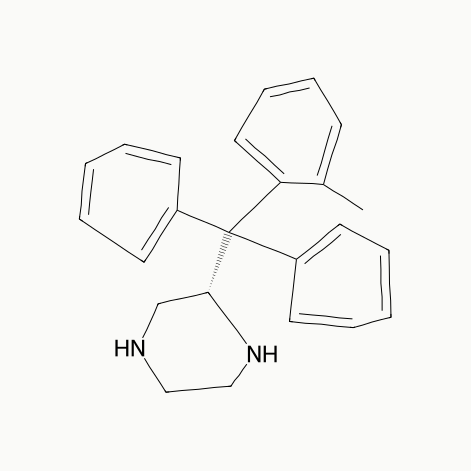 Cc1ccccc1C(c1ccccc1)(c1ccccc1)[C@H]1CNCCN1